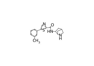 Cc1cccc(-c2cnc(C(=O)NC3CC4CNC3C4)s2)c1